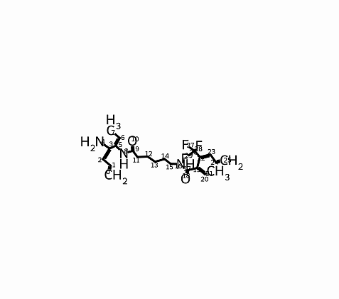 C=C/C=C(N)\C(=C/C)NC(=O)CCCCCNC(=O)C(=C/C)/C(=C\C=C)C(F)(F)F